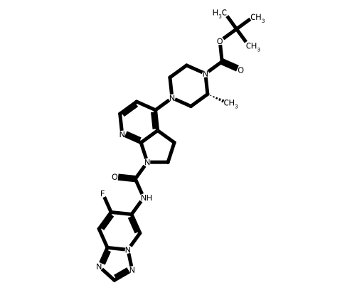 C[C@@H]1CN(c2ccnc3c2CCN3C(=O)Nc2cn3ncnc3cc2F)CCN1C(=O)OC(C)(C)C